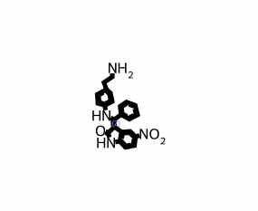 NCCc1ccc(N/C(=C2\C(=O)Nc3ccc([N+](=O)[O-])cc32)c2ccccc2)cc1